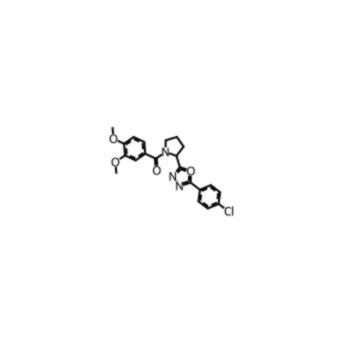 COc1ccc(C(=O)N2CCCC2c2nnc(-c3ccc(Cl)cc3)o2)cc1OC